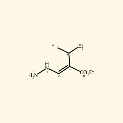 CCOC(=O)/C(=C/NN)C(I)CC